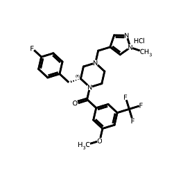 COc1cc(C(=O)N2CCN(Cc3cnn(C)c3)C[C@H]2Cc2ccc(F)cc2)cc(C(F)(F)F)c1.Cl